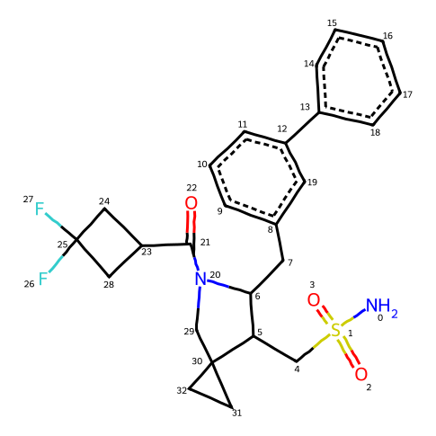 NS(=O)(=O)CC1C(Cc2cccc(-c3ccccc3)c2)N(C(=O)C2CC(F)(F)C2)CC12CC2